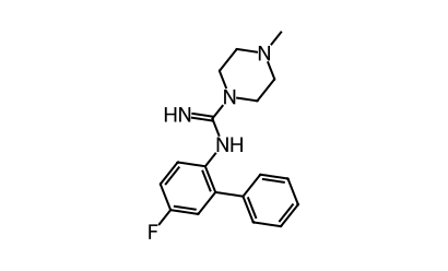 CN1CCN(C(=N)Nc2ccc(F)cc2-c2ccccc2)CC1